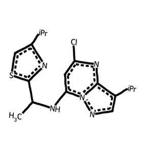 CC(C)c1csc(C(C)Nc2cc(Cl)nc3c(C(C)C)cnn23)n1